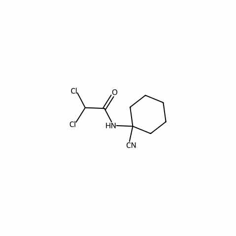 N#CC1(NC(=O)C(Cl)Cl)CCCCC1